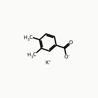 Cc1ccc(C(=O)[O-])cc1C.[K+]